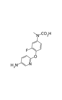 CN(C(=O)O)c1ccc(Oc2ccc(N)cn2)c(F)c1